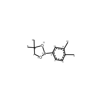 Cc1ccc(B2OCC(C)(C)O2)cc1C